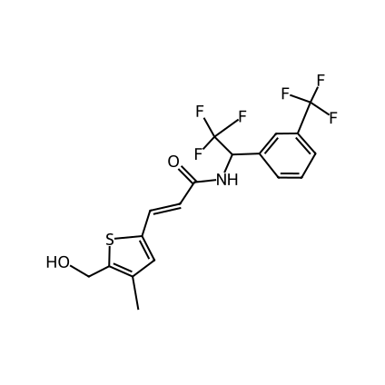 Cc1cc(/C=C/C(=O)NC(c2cccc(C(F)(F)F)c2)C(F)(F)F)sc1CO